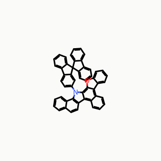 c1ccc2c(c1)-c1ccccc1C21c2ccccc2-c2ccc(-n3c4c5ccccc5ccc4c4c5ccccc5c5c6ccccc6oc5c43)cc21